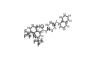 O[C@H](CN1CCN(Cc2cccc3ccccc23)CC1)c1cc(C(F)(F)F)nc2c(C(F)(F)F)cccc12